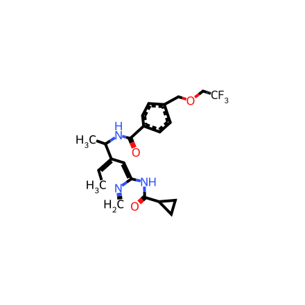 C=N/C(=C\C(=C/C)C(C)NC(=O)c1ccc(COCC(F)(F)F)cc1)NC(=O)C1CC1